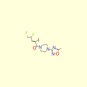 Cc1nc(N2CCN(C(=O)C(I)=CC(F)CF)CC2)no1